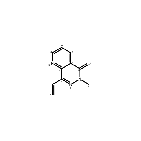 C=Cc1nn(C)c(=O)c2cccnc12